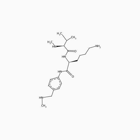 CNCc1ccc(NC(=O)[C@H](CCCCN)NC(=O)[C@@H](NC)C(C)C)cc1